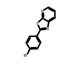 Brc1ccc(-c2nc3cccnc3s2)cc1